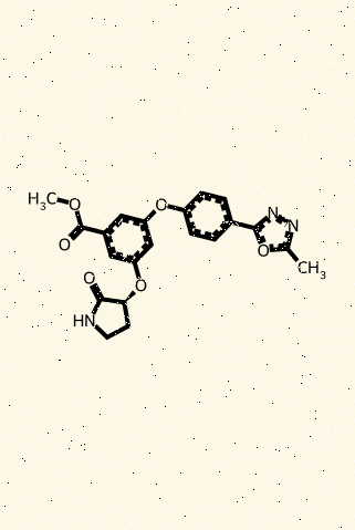 COC(=O)c1cc(Oc2ccc(-c3nnc(C)o3)cc2)cc(O[C@H]2CCNC2=O)c1